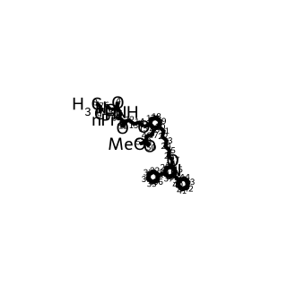 CCCC(NC(=O)OCN(C)C)C(=O)CCCOc1cccc(CCCCCCOc2cc(-c3ccccc3)cc(-c3ccccc3)n2)c1CCC(=O)OC